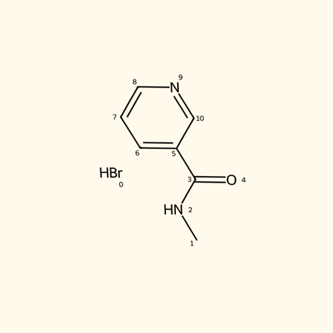 Br.CNC(=O)c1cccnc1